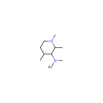 CC(=O)N(C)C1C(C)CCN(C)C1C